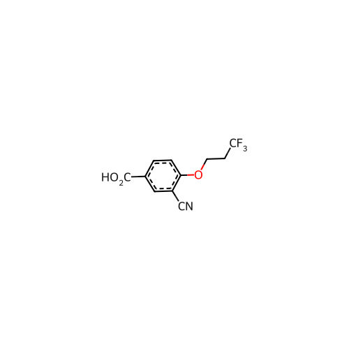 N#Cc1cc(C(=O)O)ccc1OCCC(F)(F)F